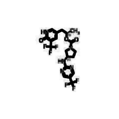 C[C@@H](Cc1c[nH]c(=O)c(C(F)(F)F)c1)OC(=O)N1CC[C@@H](Nc2ncc(C(F)(F)F)cn2)C1